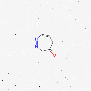 O=C1CC=CN=NC1